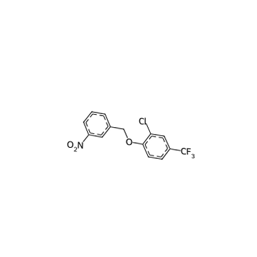 O=[N+]([O-])c1cccc(COc2ccc(C(F)(F)F)cc2Cl)c1